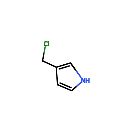 ClCc1cc[nH]c1